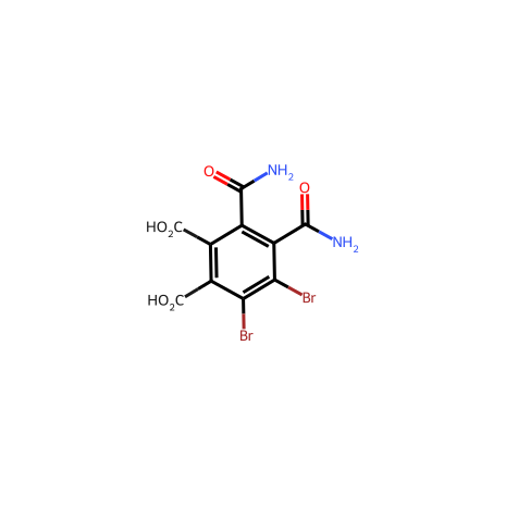 NC(=O)c1c(Br)c(Br)c(C(=O)O)c(C(=O)O)c1C(N)=O